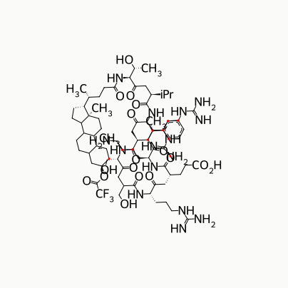 CC(C)[C@H](CC(=O)[C@@H](NC(=O)CC[C@@H](C)[C@H]1CCC2C3CCC4C[C@H](OC(=O)C(F)(F)F)CC[C@]4(C)C3CC[C@@]21C)[C@@H](C)O)C(=O)N[C@@H](Cc1ccccc1)C(=O)C[C@@H](CCCNC(=N)N)C(=O)N[C@@H](CO)C(=O)CC(CO)C(=O)N[C@@H](CCCNC(=N)N)C(=O)C[C@@H](CCC(=O)O)C(=O)N[C@@H](CCCCN)C(=O)C[C@H](C)CCCNC(=N)N